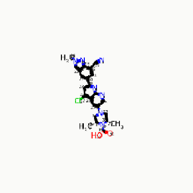 C[C@@H]1CN(c2cnc3nc(-c4cc(C#N)c5nn(C)cc5c4)cc(Cl)c3c2)C[C@H](C)N1C(=O)O